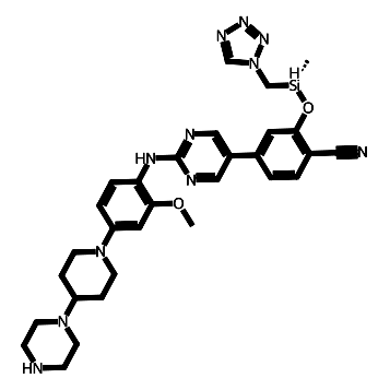 COc1cc(N2CCC(N3CCNCC3)CC2)ccc1Nc1ncc(-c2ccc(C#N)c(O[Si@@H](C)Cn3cnnn3)c2)cn1